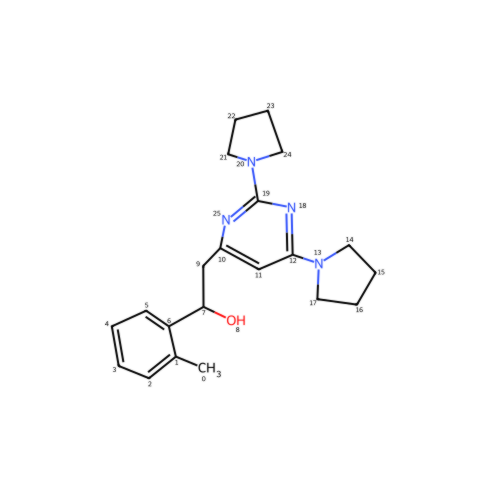 Cc1ccccc1C(O)Cc1cc(N2CCCC2)nc(N2CCCC2)n1